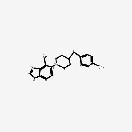 Cc1ccc(CC2CCN(c3ccc4scnc4c3O)CC2)cc1